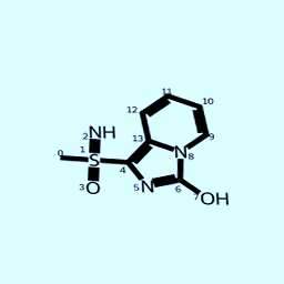 CS(=N)(=O)c1nc(O)n2ccccc12